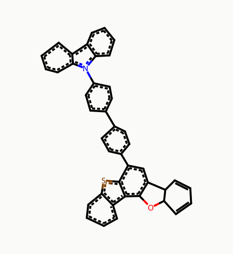 C1=CC2Oc3c(cc(-c4ccc(-c5ccc(-n6c7ccccc7c7ccccc76)cc5)cc4)c4sc5ccccc5c34)C2C=C1